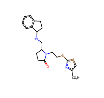 O=C(O)c1csc(SCCN2C(=O)CC[C@@H]2CNC2CCc3ccccc32)n1